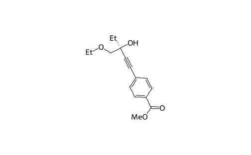 CCOC[C@@](O)(C#Cc1ccc(C(=O)OC)cc1)CC